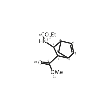 CCOC(=O)NC1C2C=CC(C2)C1C(=O)OC